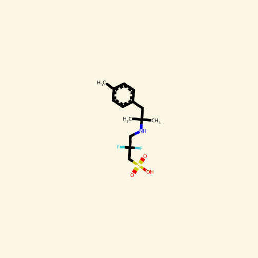 Cc1ccc(CC(C)(C)NCC(F)(F)CS(=O)(=O)O)cc1